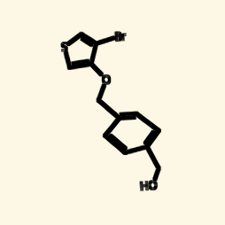 OCc1ccc(COc2cscc2Br)cc1